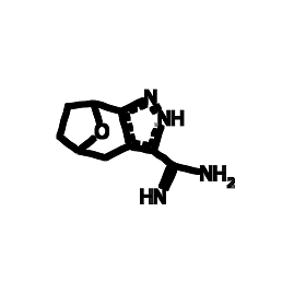 N=C(N)c1[nH]nc2c1CC1CCC2O1